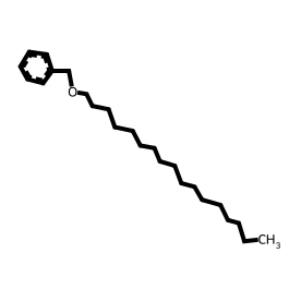 CCCCCCCCCCCCCCCCCOCc1ccccc1